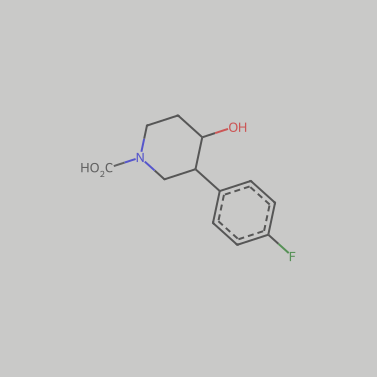 O=C(O)N1CCC(O)C(c2ccc(F)cc2)C1